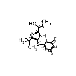 CCC(O)c1nc(C(C)C)c(Sc2cc(F)cc(F)c2)[nH]1